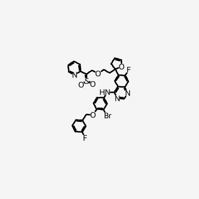 O=S(=O)=C(COCCC1(c2cc3c(Nc4ccc(OCc5cccc(F)c5)c(Br)c4)ncnc3cc2F)CC=CO1)c1ccccn1